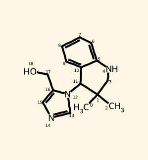 CC1(C)CNc2ccccc2C1n1cncc1CO